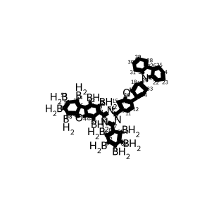 Bc1c(B)c(B)c(-c2nc(-c3ccc4c(c3)oc3cc(-n5c6ccccc6c6ccccc65)ccc34)nc(-c3c(B)c(B)c4c(oc5c(B)c(B)c(B)c(B)c54)c3B)n2)c(B)c1B